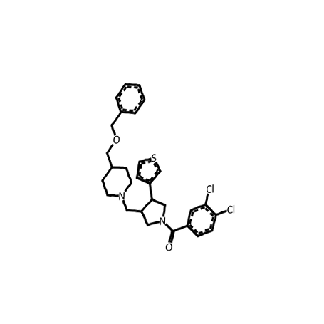 O=C(c1ccc(Cl)c(Cl)c1)N1CC(CN2CCC(COCc3ccccc3)CC2)C(c2ccsc2)C1